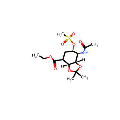 CCOC(=O)C1C[C@@H](OS(C)(=O)=O)[C@@H](NC(C)=O)[C@@H]2OC(C)(C)O[C@H]12